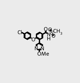 COc1ncc(-c2cc(C(=O)NS(C)(=O)=O)ccc2Oc2ccc(Cl)cc2)cn1